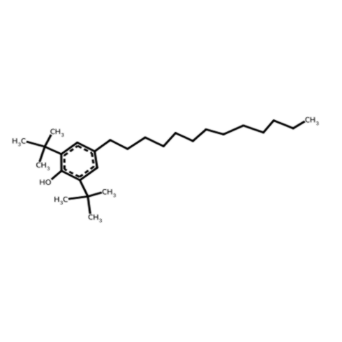 CCCCCCCCCCCCCc1cc(C(C)(C)C)c(O)c(C(C)(C)C)c1